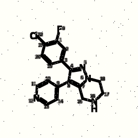 Fc1cc(-c2nn3c(c2-c2ccncc2)CNCC3)ccc1Cl